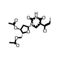 CC(=O)OC[C@H]1O[C@@H](n2cc(/C(Cl)=C\I)c(=O)[nH]c2=O)C[C@@H]1OC(C)=O